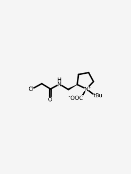 CC(C)(C)[N+]1(C(=O)[O-])CCC[C@@H]1CNC(=O)CCl